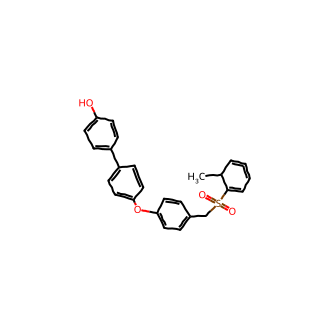 CC1C=C=CC=C1S(=O)(=O)Cc1ccc(Oc2ccc(-c3ccc(O)cc3)cc2)cc1